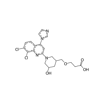 O=C(O)CCOCC1CC(O)CN(c2cc(-n3ccnc3)c3ccc(Cl)c(Cl)c3n2)C1